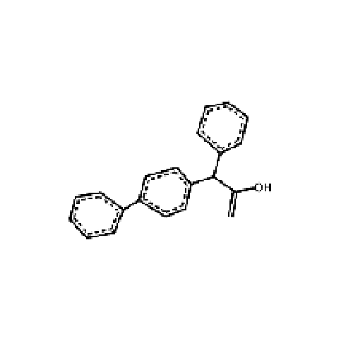 C=C(O)C(c1ccccc1)c1ccc(-c2ccccc2)cc1